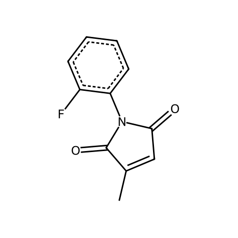 CC1=CC(=O)N(c2ccccc2F)C1=O